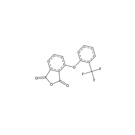 O=C1OC(=O)c2c(Oc3ccccc3C(F)(F)F)cccc21